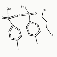 Cc1ccc(S(=O)(=O)O)cc1.Cc1ccc(S(=O)(=O)O)cc1.SCCCS